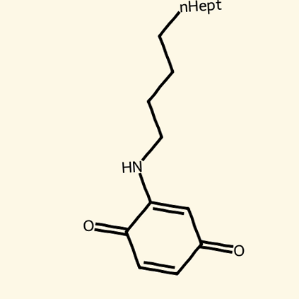 CCCCCCCCCCCNC1=CC(=O)C=CC1=O